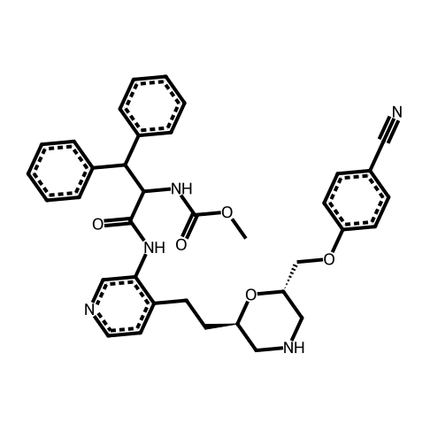 COC(=O)NC(C(=O)Nc1cnccc1CC[C@@H]1CNC[C@@H](COc2ccc(C#N)cc2)O1)C(c1ccccc1)c1ccccc1